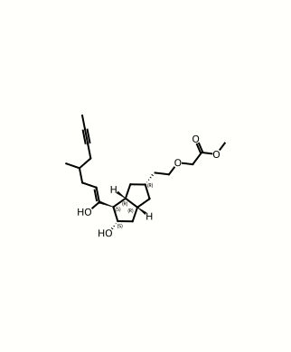 CC#CCC(C)CC=C(O)[C@H]1[C@@H]2C[C@H](CCOCC(=O)OC)C[C@@H]2C[C@@H]1O